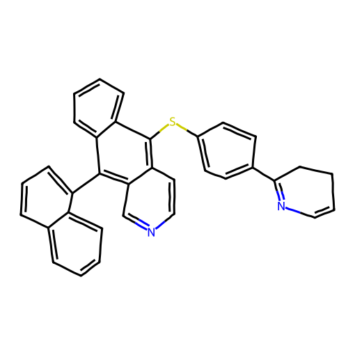 C1=CN=C(c2ccc(Sc3c4ccccc4c(-c4cccc5ccccc45)c4cnccc34)cc2)CC1